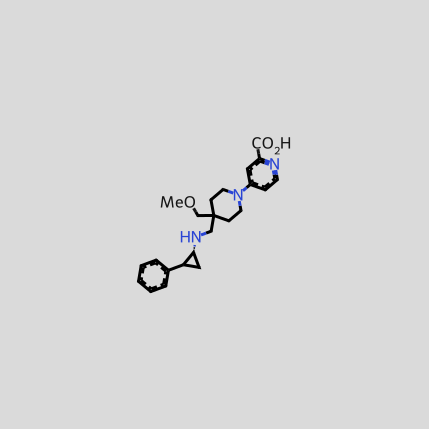 COCC1(CN[C@@H]2CC2c2ccccc2)CCN(c2ccnc(C(=O)O)c2)CC1